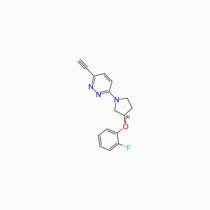 C#Cc1ccc(N2CC[C@@H](Oc3ccccc3F)C2)nn1